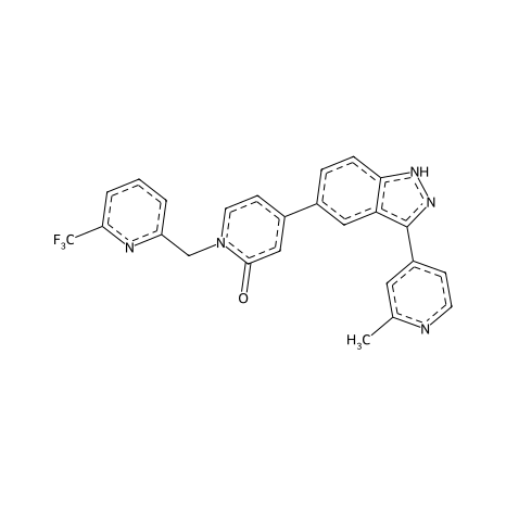 Cc1cc(-c2n[nH]c3ccc(-c4ccn(Cc5cccc(C(F)(F)F)n5)c(=O)c4)cc23)ccn1